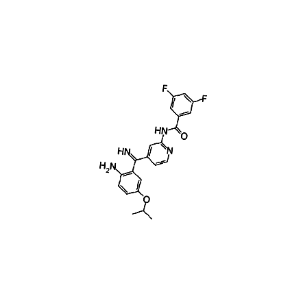 CC(C)Oc1ccc(N)c(C(=N)c2ccnc(NC(=O)c3cc(F)cc(F)c3)c2)c1